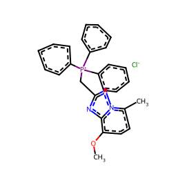 COc1ccc(C)n2nc(C[P+](c3ccccc3)(c3ccccc3)c3ccccc3)nc12.[Cl-]